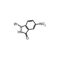 CC(C)n1[nH]c(=O)c2cc([N+](=O)[O-])ccc21